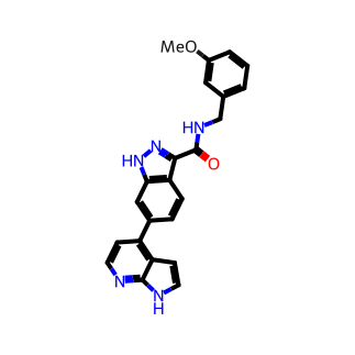 COc1cccc(CNC(=O)c2n[nH]c3cc(-c4ccnc5[nH]ccc45)ccc23)c1